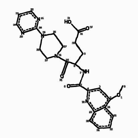 COc1cc(C(=O)NC(CCC(=O)O)C(=O)N2CCN(c3ncccn3)CC2)nc2ccccc12